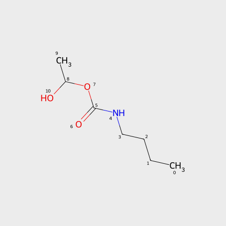 CCCCNC(=O)OC(C)O